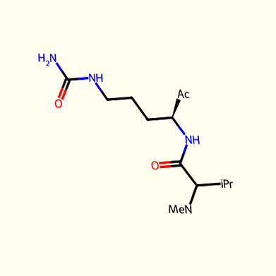 CNC(C(=O)N[C@@H](CCCNC(N)=O)C(C)=O)C(C)C